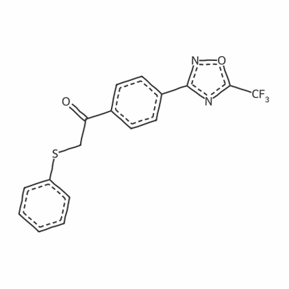 O=C(CSc1ccccc1)c1ccc(-c2noc(C(F)(F)F)n2)cc1